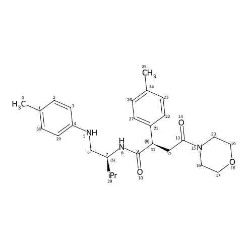 Cc1ccc(NC[C@@H](NC(=O)[C@H](CC(=O)N2CCOCC2)c2ccc(C)cc2)C(C)C)cc1